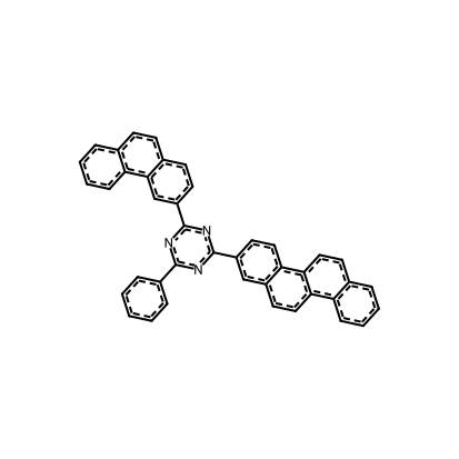 c1ccc(-c2nc(-c3ccc4c(ccc5c6ccccc6ccc45)c3)nc(-c3ccc4ccc5ccccc5c4c3)n2)cc1